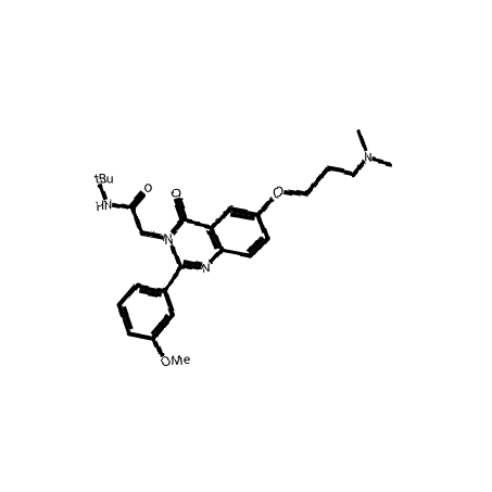 COc1cccc(-c2nc3ccc(OCCCN(C)C)cc3c(=O)n2CC(=O)NC(C)(C)C)c1